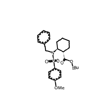 COc1ccc(S(=O)(=O)N(Cc2ccccc2)[C@H]2CCCC[C@@H]2C(=O)OC(C)(C)C)cc1